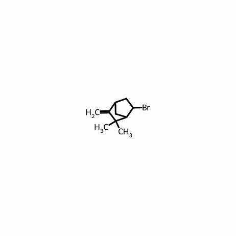 C=C1C2CC(Br)C(C2)C1(C)C